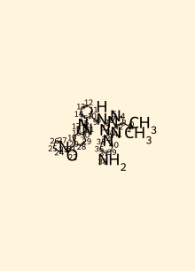 CC(C)c1cnn2c(NCc3ccccc3-n3cc4cc(C(=O)N5CCCC5)ccc4n3)nc(N3CCC(N)CC3)nc12